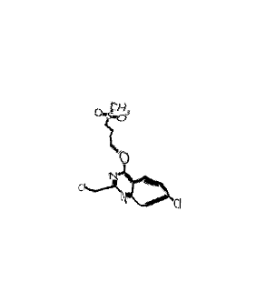 CS(=O)(=O)CCCOc1nc(CCl)nc2cc(Cl)ccc12